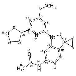 CCc1cc(N2CC3(CC3)c3cnc(NC(C)=O)cc32)nc([C@H]2CCOC2)n1